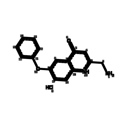 Cl.NCc1cc(=O)c2cc(Oc3ccccc3)ccc2[nH]1